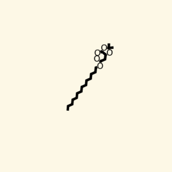 CCCCCCCCCCCCCCOC(=O)CC1OC(C)(C)OC1=O